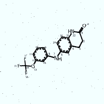 O=C1CCc2cc(Nc3cccc(OC(F)(F)F)c3)ccc2N1